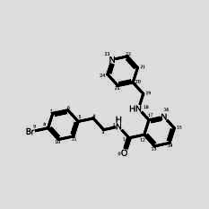 O=C(NCCc1ccc(Br)cc1)c1cccnc1NCc1ccncc1